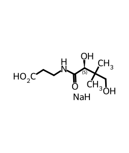 CC(C)(CO)[C@H](O)C(=O)NCCC(=O)O.[NaH]